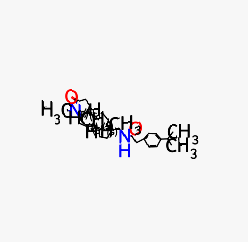 CC(C)c1ccc(CC(=O)NC[C@H]2CC[C@H]3[C@@H]4CC[C@H]5N(C)C(=O)CC[C@]5(C)[C@H]4CC[C@]23C)cc1